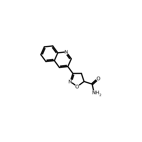 NC(=O)C1CC(c2cnc3ccccc3c2)=NO1